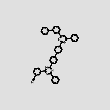 N#Cc1cccc(-c2nc(-c3ccccc3)nc(-c3ccc(-c4ccc(-c5nc(-c6ccccc6)cc(-c6cccc(-c7ccccc7)c6)n5)cc4)cc3)n2)c1